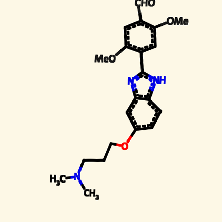 COc1cc(-c2nc3cc(OCCCN(C)C)ccc3[nH]2)c(OC)cc1C=O